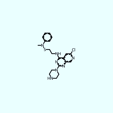 CN(SCCNc1nc(N2CCNCC2)nc2cnc(Cl)cc12)c1ccccc1